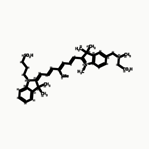 CSC(=C\C=C\C1=[N+](C)c2ccc(CN(C)CC(=O)O)cc2C1(C)C)/C=C/C=C1/N(CCCS(=O)(=O)O)c2ccccc2C1(C)C